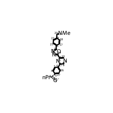 CCC[S+]([O-])c1ccc(-c2cncc(-c3nnc(-c4ccc(CNC)cc4)o3)n2)cc1